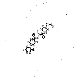 CC1CCC(C(=O)NCC(=O)N2CCN(c3ccccc3F)CC2)CC1